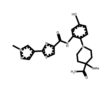 CNC1(C(N)=O)CCN(c2ccc(O)cc2NC(=O)c2csc(-c3cnn(C)c3)n2)CC1